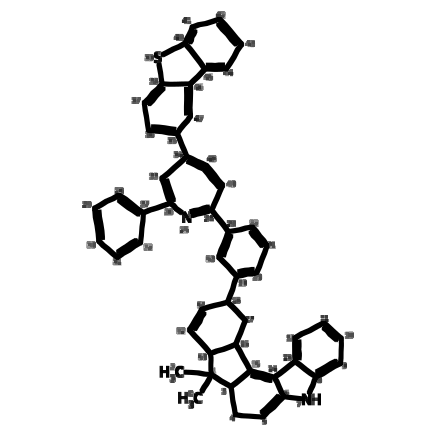 CC1(C)C2CC=c3[nH]c4ccccc4c3=C2C2CC(c3cccc(C4=NC(c5ccccc5)=CC(c5ccc6sc7ccccc7c6c5)=C=C4)c3)C=CC21